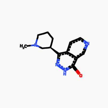 CN1CCC[C@@H](c2n[nH]c(=O)c3cnccc23)C1